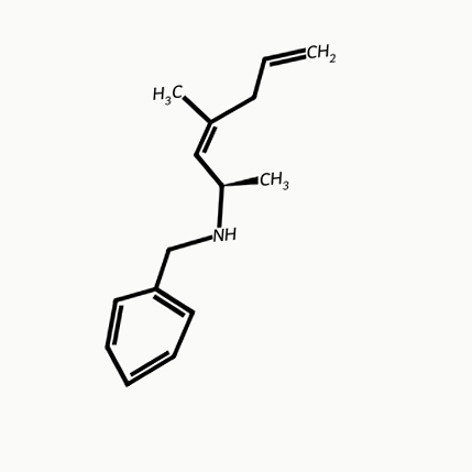 C=CC/C(C)=C\[C@@H](C)NCc1ccccc1